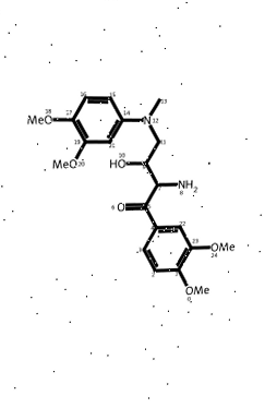 COc1ccc(C(=O)C(N)C(O)CN(C)c2ccc(OC)c(OC)c2)cc1OC